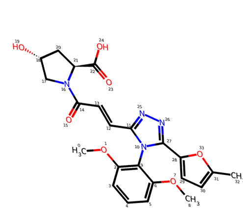 COc1cccc(OC)c1-n1c(/C=C/C(=O)N2C[C@H](O)C[C@H]2C(=O)O)nnc1-c1ccc(C)o1